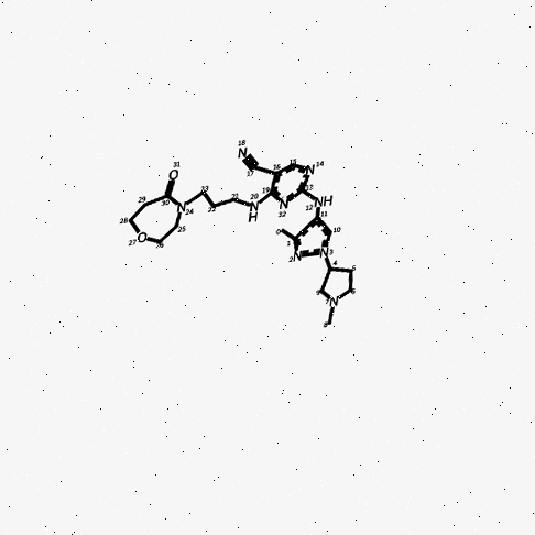 Cc1nn(C2CCN(C)C2)cc1Nc1ncc(C#N)c(NCCCN2CCOCCC2=O)n1